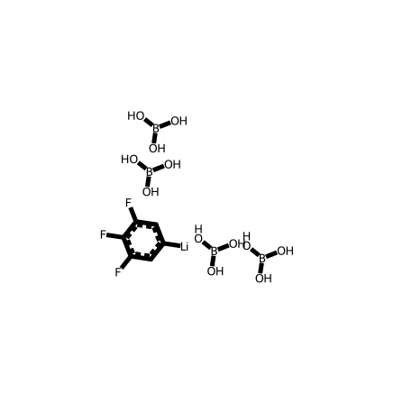 OB(O)O.OB(O)O.OB(O)O.OB(O)O.[Li][c]1cc(F)c(F)c(F)c1